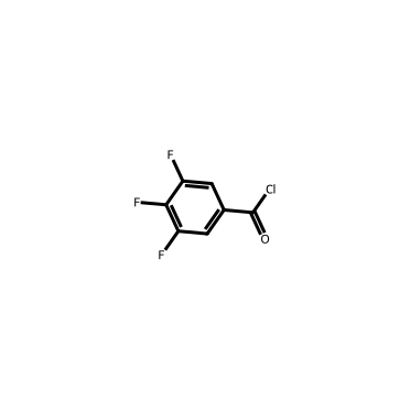 O=C(Cl)c1cc(F)c(F)c(F)c1